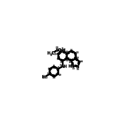 CCc1ccc(Nc2ccnc3ccc4cn[nH]c4c23)cc1.CS(=O)(=O)O